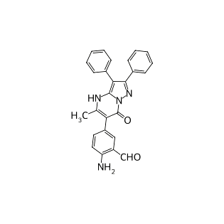 Cc1[nH]c2c(-c3ccccc3)c(-c3ccccc3)nn2c(=O)c1-c1ccc(N)c(C=O)c1